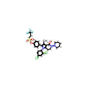 Cc1c2c(n(-c3ccc(Cl)cc3Cl)c1-c1ccc(OS(=O)(=O)CCC(F)(F)F)cc1)CCN(N1CCCCC1)C2=O